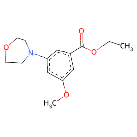 CCOC(=O)c1cc(OC)cc(N2CCOCC2)c1